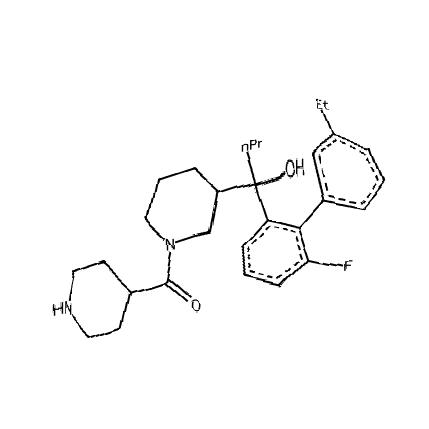 [CH2]CCC(O)(c1cccc(F)c1-c1cccc(CC)c1)C1CCCN(C(=O)C2CCNCC2)C1